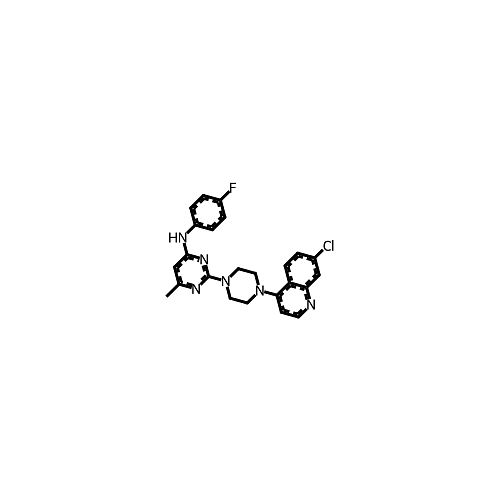 Cc1cc(Nc2ccc(F)cc2)nc(N2CCN(c3ccnc4cc(Cl)ccc34)CC2)n1